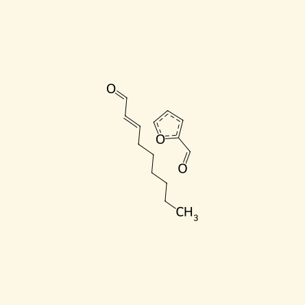 CCCCCCC=CC=O.O=Cc1ccco1